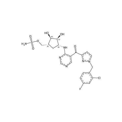 NS(=O)(=O)OC[C@H]1C[C@@H](Nc2ncncc2C(=O)c2ccn(Cc3ccc(F)cc3Cl)n2)[C@H](O)[C@@H]1O